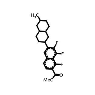 COC(=O)c1ccc2cc(C3CCC4CC(C)CCC4C3)c(F)c(F)c2c1F